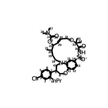 CCCc1cc(Cl)ccc1C1COc2ccc3cc2N(CCC(C)C(OC(=O)N(C)C)/C=C/COC(C)(C)C(=O)N[S+]3[O-])C1